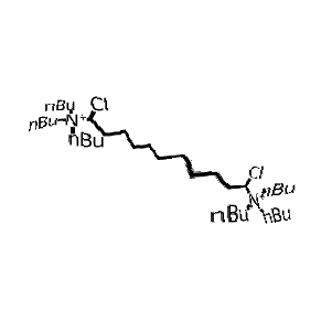 CCCC[N+](CCCC)(CCCC)C(Cl)CCCCCCCCCC(Cl)[N+](CCCC)(CCCC)CCCC